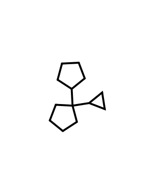 C1CCC(C2(C3CC3)CCCC2)C1